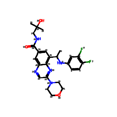 CC(Nc1ccc(F)c(F)c1)c1cc(C(=O)NCC(C)(C)O)cc2ncc(N3CCOCC3)nc12